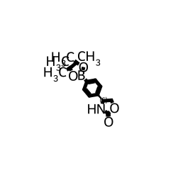 CC1(C)OB(c2ccc([C@H]3COC(=O)N3)cc2)OC1(C)C